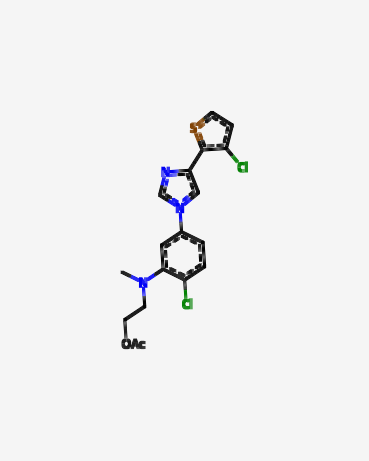 CC(=O)OCCN(C)c1cc(-n2cnc(-c3sccc3Cl)c2)ccc1Cl